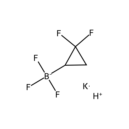 F[B-](F)(F)C1CC1(F)F.[H+].[K]